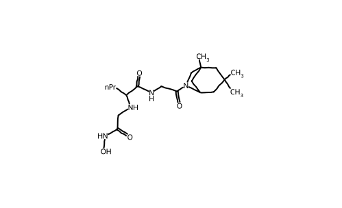 CCCC(NCC(=O)NO)C(=O)NCC(=O)N1CC2(C)CC1CC(C)(C)C2